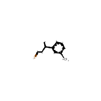 CC(CC=S)c1cccc(C(F)(F)F)c1